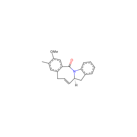 COc1cc2c(cc1C)C/C=C/[C@@H]1Cc3ccccc3N1C2=O